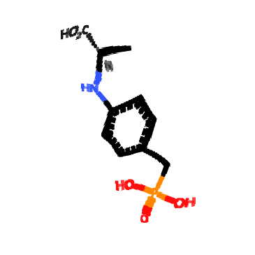 C[C@H](Nc1ccc(CP(=O)(O)O)cc1)C(=O)O